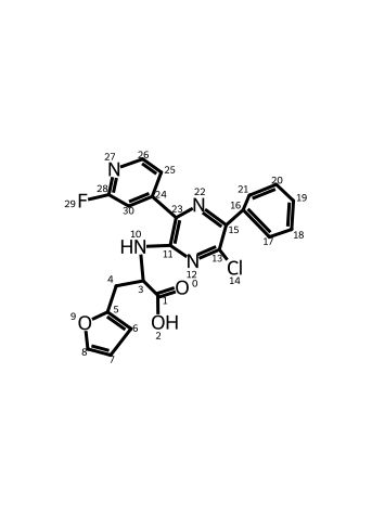 O=C(O)C(Cc1ccco1)Nc1nc(Cl)c(-c2ccccc2)nc1-c1ccnc(F)c1